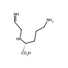 N=CCN[C@H](CCCN)C(=O)O